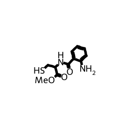 COC(=O)C(CS)NC(=O)c1ccccc1N